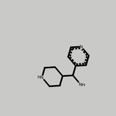 [NH]C(c1ccncc1)C1CCNCC1